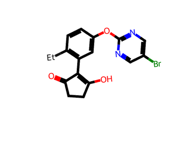 CCc1ccc(Oc2ncc(Br)cn2)cc1C1=C(O)CCC1=O